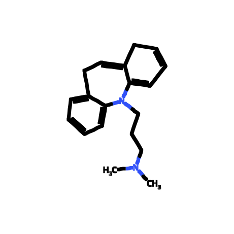 CN(C)CCCN1C2=CC=CCC2=CCc2ccccc21